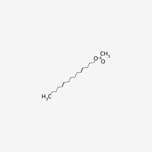 CCCCC=CCCCCC=CCCCOC(C)=O